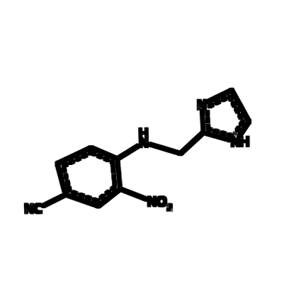 N#Cc1ccc(NCc2ncc[nH]2)c([N+](=O)[O-])c1